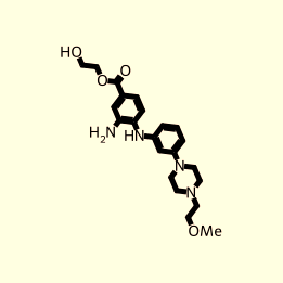 COCCN1CCN(c2cccc(Nc3ccc(C(=O)OCCO)cc3N)c2)CC1